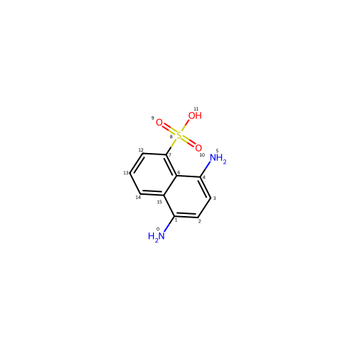 Nc1ccc(N)c2c(S(=O)(=O)O)cccc12